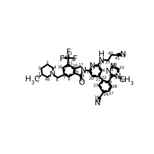 C[C@H]1CCCN(Cc2cc3c(c(C(F)(F)F)c2)CN(c2cc(-c4cc(C#N)ccc4-c4nncn4C)cc(NCCC#N)n2)C3=O)C1